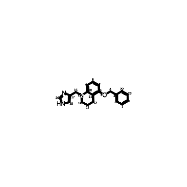 c1ccc(COc2cccc3c2CCCN3Cc2c[nH]cn2)cc1